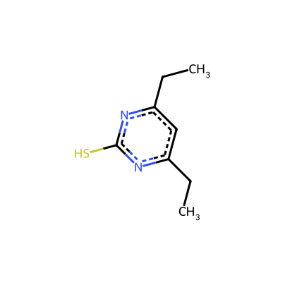 CCc1cc(CC)nc(S)n1